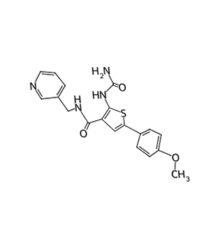 COc1ccc(-c2cc(C(=O)NCc3cccnc3)c(NC(N)=O)s2)cc1